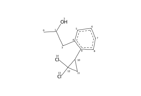 CC(O)Cc1ccccc1C1CC1(Cl)Cl